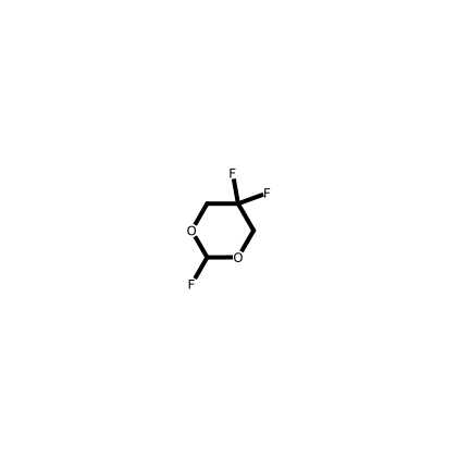 FC1OCC(F)(F)CO1